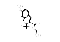 CCOC(=O)C1=Cc2ccc(OC)cc2OC1C(F)(F)F